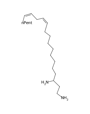 CCCCC/C=C\C/C=C\CCCCCCCCC(N)CCN